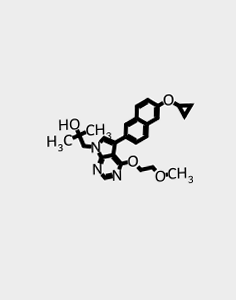 COCCOc1ncnc2c1c(-c1ccc3cc(OC4CC4)ccc3c1)cn2CC(C)(C)O